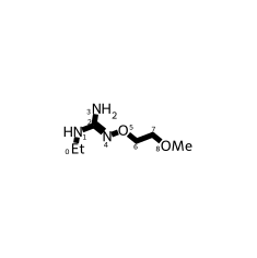 CCNC(N)=NOCCOC